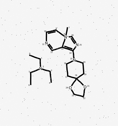 CCN(CC)CC.C[N+]12C=CN=CC1=C(N1CCC3(CC1)OCCO3)N=C2